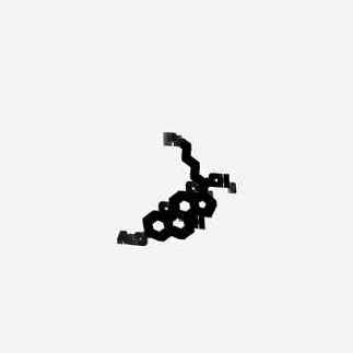 CC(=O)O[C@H]1CC[C@@]2(C)C(=CC[C@H]3C4CCC(C(C)CCCCC(C)C)[C@@]4(C)CCC32)C1